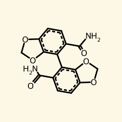 NC(=O)c1ccc2c(c1-c1c(C(N)=O)ccc3c1OCO3)OCO2